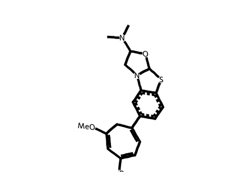 COC1=CC(C(C)C)=CC=C(c2ccc3c(c2)N2CC(N(C)C)OC2S3)C1